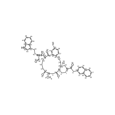 CN1CC(=O)N2CCN(C(=O)Cc3ccc4ccccc4c3)C[C@@H]2COc2ccc(F)cc2C(=O)N(C)[C@@H](C(=O)NCCc2c[nH]c3ccccc23)CCC1=O